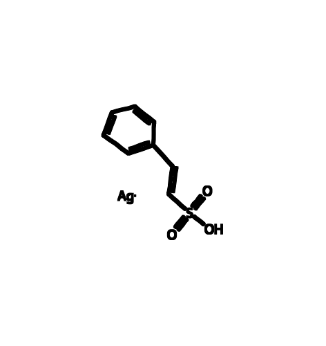 O=S(=O)(O)C=Cc1ccccc1.[Ag]